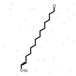 O=C/C=C/CCCCCCCCCCCCCl